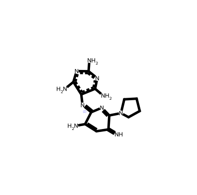 N=C1C=C(N)/C(=N/c2c(N)nc(N)nc2N)N=C1N1CCCC1